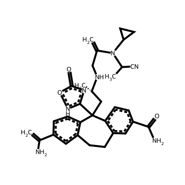 C=C(N)c1ccc2c(c1)CCc1cc(C(N)=O)ccc1C2(C[C@H](C)NCC(=C)N(C(C)C#N)C1CC1)c1nc(=O)o[nH]1